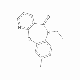 CCN1C(=O)c2cccnc2Oc2cc(C)ccc21